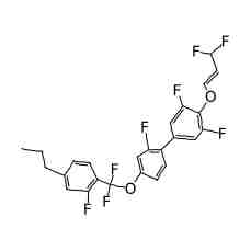 CCCc1ccc(C(F)(F)Oc2ccc(-c3cc(F)c(O/C=C/C(F)F)c(F)c3)c(F)c2)c(F)c1